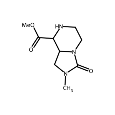 COC(=O)C1NCCN2C(=O)N(C)CC12